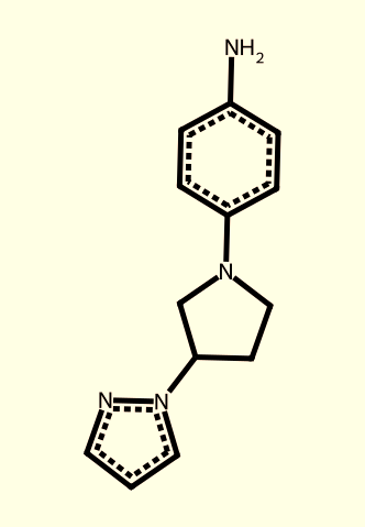 Nc1ccc(N2CCC(n3cccn3)C2)cc1